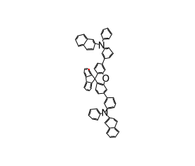 c1ccc(N(c2cccc(-c3ccc4c(c3)Oc3cc(-c5cccc(N(c6ccccc6)c6ccc7ccccc7c6)c5)ccc3C43c4ccccc4-c4ccccc43)c2)c2ccc3ccccc3c2)cc1